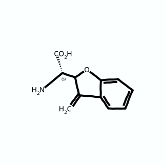 C=C1c2ccccc2OC1[C@H](N)C(=O)O